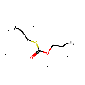 CCCOC(=O)SCCC